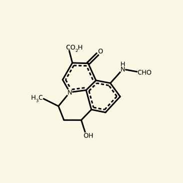 CC1CC(O)c2ccc(NC=O)c3c(=O)c(C(=O)O)cn1c23